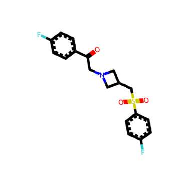 O=C(CN1CC(CS(=O)(=O)c2ccc(F)cc2)C1)c1ccc(F)cc1